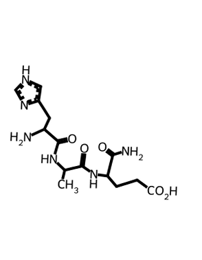 CC(NC(=O)C(N)Cc1c[nH]cn1)C(=O)NC(CCC(=O)O)C(N)=O